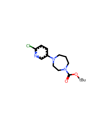 CC(C)(C)OC(=O)N1CCCN(c2ccc(Cl)nc2)CC1